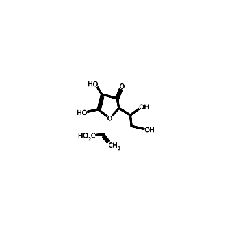 C=CC(=O)O.O=C1C(O)=C(O)OC1C(O)CO